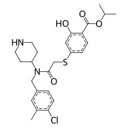 Cc1cc(CN(C(=O)CSc2ccc(C(=O)OC(C)C)c(O)c2)C2CCNCC2)ccc1Cl